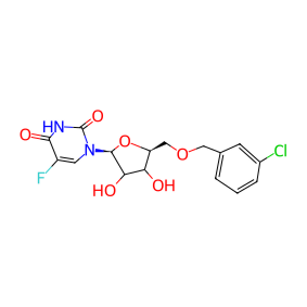 O=c1[nH]c(=O)n([C@H]2O[C@@H](COCc3cccc(Cl)c3)C(O)C2O)cc1F